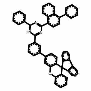 c1ccc(-c2ccc(C3=NC(c4ccccc4)NC(c4cccc(-c5ccc6c(c5)Oc5ccccc5C65c6ccccc6-c6ccccc65)c4)=N3)c3ccccc23)cc1